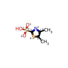 Cc1nc(S(=O)(=O)O)sc1C